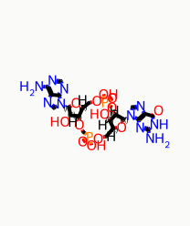 Nc1nc2c(ncn2[C@@H]2O[C@@H]3COP(=O)(O)CO[C@H]4[C@H](O)[C@H](n5cnc6c(N)ncnc65)O[C@@H]4COP(=O)(O)O[C@@H]2[C@@H]3O)c(=O)[nH]1